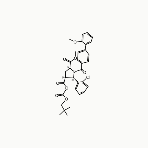 COC(=O)[C@@H]1C[C@H](C(=O)OC(=O)OCC(C)(C)C)[C@H](c2ccccc2Cl)N1C(=O)c1ccc(-c2ccccc2OC)cc1